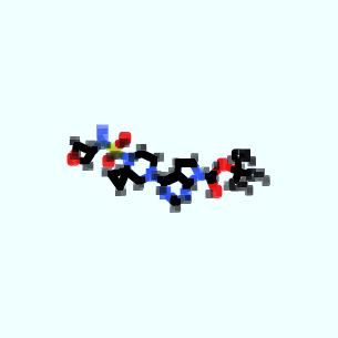 CC(C)(C)OC(=O)n1ccc2c(N3CCN(S(=O)(=O)NC4COC4)C4(CC4)C3)ncnc21